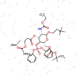 CCCCCCCCCCC[C@H](CC(=O)O[C@@H]1[C@H](NC(=O)OCC(Cl)(Cl)Cl)[C@@H](OCC[Si](C)(C)C)O[C@H](COC(=O)OC(C)(C)C(Cl)(Cl)Cl)[C@H]1OP(=O)(Oc1ccccc1)Oc1ccccc1)OC(=O)CCCCCC